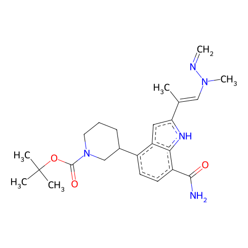 C=NN(C)/C=C(\C)c1cc2c(C3CCCN(C(=O)OC(C)(C)C)C3)ccc(C(N)=O)c2[nH]1